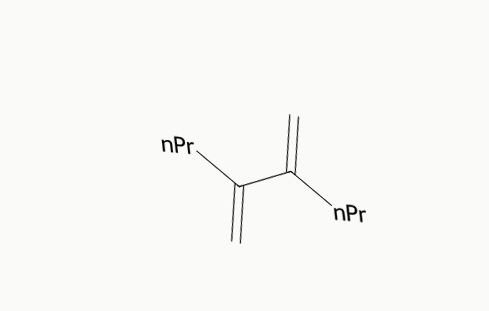 C=C(CCC)C(=C)CCC